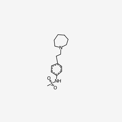 CS(=O)(=O)Nc1ccc(CCN2CCCCCC2)cc1